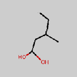 [CH2]CC(C)C[C](O)O